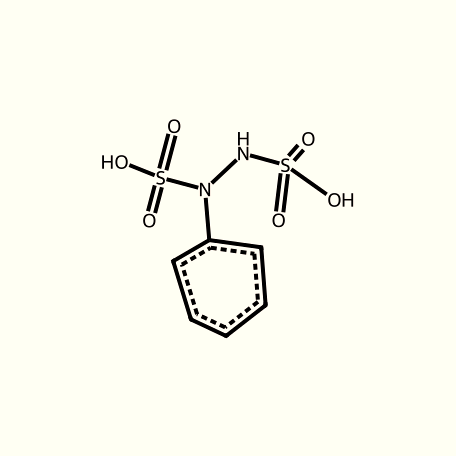 O=S(=O)(O)NN(c1ccccc1)S(=O)(=O)O